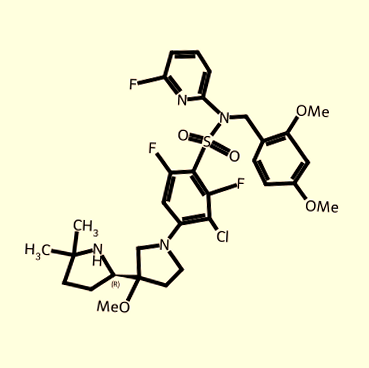 COc1ccc(CN(c2cccc(F)n2)S(=O)(=O)c2c(F)cc(N3CCC(OC)([C@H]4CCC(C)(C)N4)C3)c(Cl)c2F)c(OC)c1